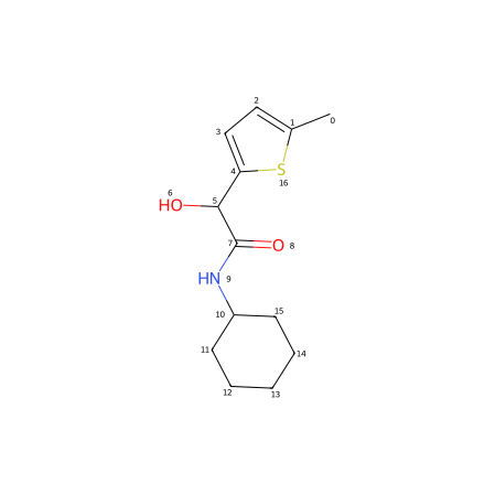 Cc1ccc(C(O)C(=O)NC2CCCCC2)s1